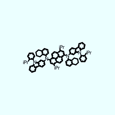 CC(C)c1ccccc1-n1c2ccccc2c2ccc(N(c3cccc4c3CCCC4)c3cc(C(C)C)c4ccc5c(N(c6ccc7c8ccccc8n(-c8ccccc8C(C)C)c7c6)c6cccc7c6CCCC7)cc(C(C)C)c6ccc3c4c65)cc21